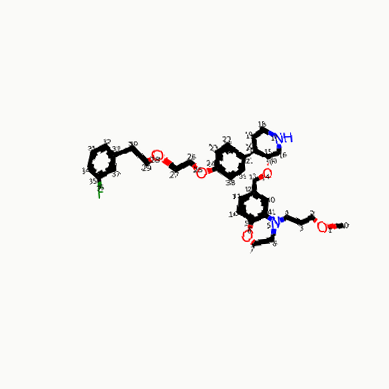 COCCCN1CCOc2ccc(CO[C@H]3CNCC[C@@H]3c3ccc(OCCOCCc4cccc(F)c4)cc3)cc21